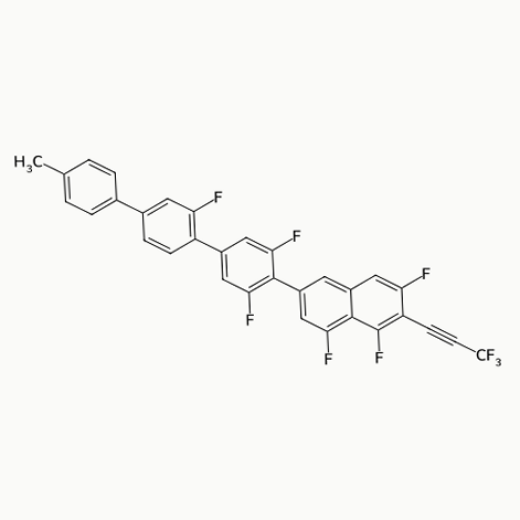 Cc1ccc(-c2ccc(-c3cc(F)c(-c4cc(F)c5c(F)c(C#CC(F)(F)F)c(F)cc5c4)c(F)c3)c(F)c2)cc1